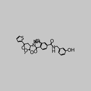 COC(=O)C(CC(=O)c1cccs1)N(N)C(=O)c1ccc(C(=O)NCc2cccc(O)c2)cc1Cl